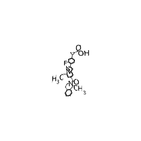 CCc1cc(C(=O)N2CCc3ccccc3[C@H]2C)cc2cc(-c3ccc(C4C[C@H]4C(=O)O)cc3F)nn12